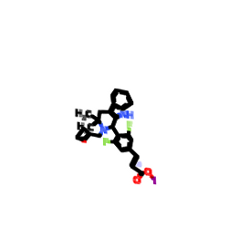 CC1(C)Cc2c([nH]c3ccccc23)C(c2c(F)cc(/C=C/C(=O)OI)cc2F)N1CC12CC(C1)C2